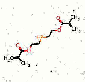 C=C(C)C(=O)OCCPCCOC(=O)C(=C)C